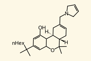 CCCCCCC(C)(C)C1=CC2OC(C)(C)[C@H]3CC=C(CN4CC=CC4)C[C@@H]3C2C(O)=C1